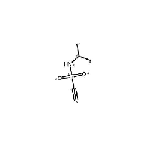 C#CS(=O)(=O)NC(C)C